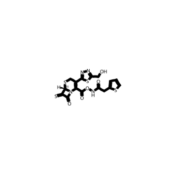 O=C(Cc1cccs1)NOC(=O)C1=C(c2nnc(CO)s2)CS[C@H]2C(=S)C(=O)N12